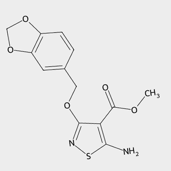 COC(=O)c1c(OCc2ccc3c(c2)OCO3)nsc1N